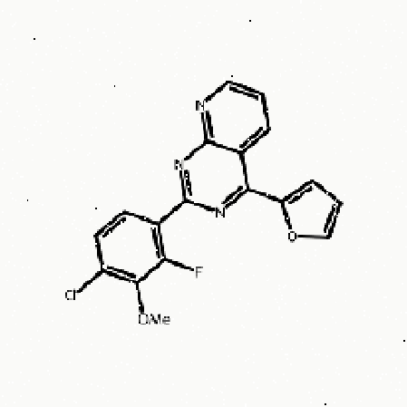 COc1c(Cl)ccc(-c2nc(-c3ccco3)c3cccnc3n2)c1F